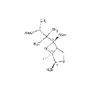 B[C@@H]1OCC2[C@@H]1O[C@]2(OC)C(C)(C)C(C)OC